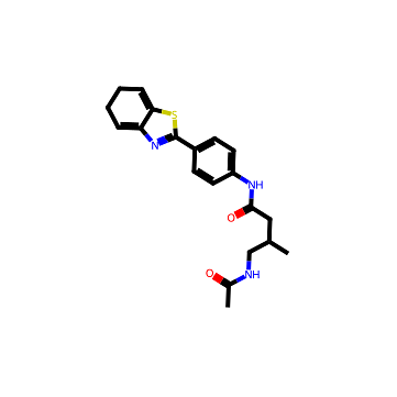 CC(=O)NCC(C)CC(=O)Nc1ccc(-c2nc3c(s2)=CCCC=3)cc1